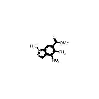 COC(=O)c1cc2c(cnn2C)c([N+](=O)[O-])c1C